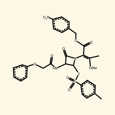 COC(C)=C(C(=O)OCc1ccc([N+](=O)[O-])cc1)N1C(=O)C(NC(=O)COc2ccccc2)C1SS(=O)(=O)c1ccc(C)cc1